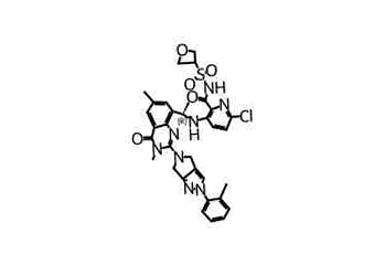 Cc1cc([C@@H](C)Nc2ccc(Cl)nc2C(=O)NS(=O)(=O)C2COC2)c2nc(N3Cc4cn(-c5ccccc5C)nc4C3)n(C)c(=O)c2c1